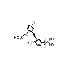 CCCN(CCC)S(=O)(=O)c1ccc(C)c(C#Cc2cc(Cl)ccc2OCC(=O)O)c1